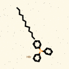 Br.CCCCCCCCCCCC.c1ccc(P(c2ccccc2)c2ccccc2)cc1